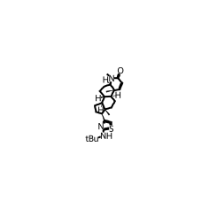 CN1C(=O)C=C[C@]2(C)[C@H]3CC[C@]4(C)[C@@H](c5csc(NC(C)(C)C)n5)CC[C@H]4[C@@H]3CC[C@@H]12